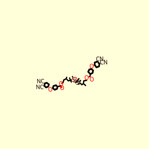 CC(CCOC(=O)c1ccc(Oc2ccc(C#N)c(C#N)c2)cc1)CC(C)(C)[Si](C)(C)OC(C)(C)[Si](C)(C)CC(C)CCOC(=O)c1ccc(Oc2ccc(C#N)c(C#N)c2)cc1